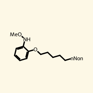 CCCCCCCCCCCCCCOc1ccccc1NOC